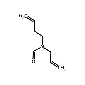 C=CCCN(C=O)CC=C